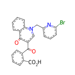 O=C(O)c1ccccc1C(=O)c1cn(Cc2cccc(Br)n2)c2ccccc2c1=O